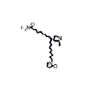 C=Cc1ccccn1.NC(=O)CCCCCCC/C=C\CCCCCCCCN1CCCC1=O